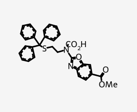 COC(=O)c1ccc2nc(N(CCSC(c3ccccc3)(c3ccccc3)c3ccccc3)C(=O)O)oc2c1